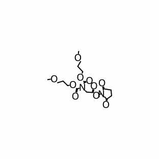 COCCCOC(=O)N(CC(=O)ON1C(=O)CCC1=O)C(=O)OCCCOC